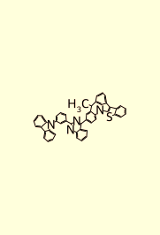 CC1c2cc(-c3nc(-c4cccc(-n5c6ccccc6c6ccccc65)c4)nc4ccccc34)ccc2-n2c3sc4ccccc4c3c3cccc1c32